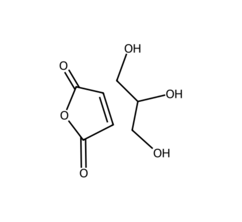 O=C1C=CC(=O)O1.OCC(O)CO